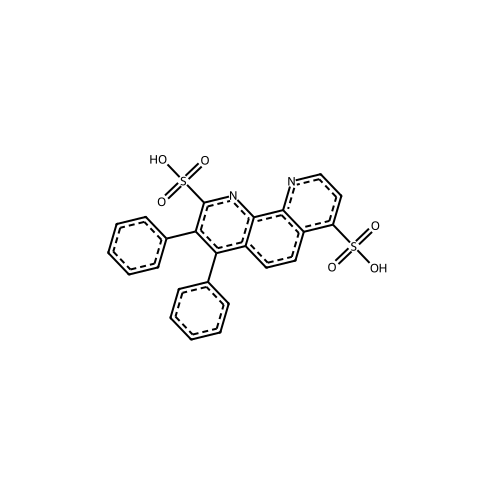 O=S(=O)(O)c1nc2c(ccc3c(S(=O)(=O)O)ccnc32)c(-c2ccccc2)c1-c1ccccc1